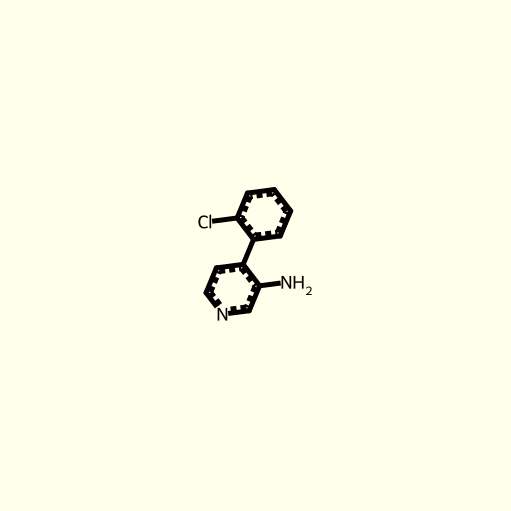 Nc1cnccc1-c1ccccc1Cl